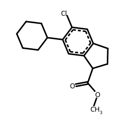 COC(=O)C1CCc2cc(Cl)c(C3CCCCC3)cc21